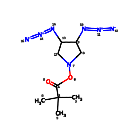 CC(C)(C)C(=O)ON1CC(N=[N+]=[N-])C(N=[N+]=[N-])C1